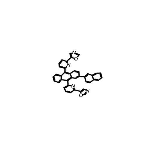 c1cc(-c2cnco2)nc(-c2c3ccccc3c(-c3cccc(-c4cnco4)n3)c3cc(-c4ccc5ccccc5c4)ccc23)c1